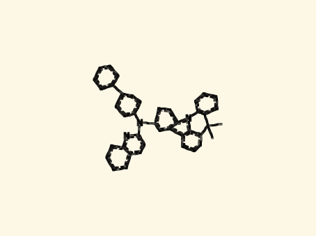 CC1(C)c2ccccc2-n2c3ccc(N(c4ccc(-c5ccccc5)cc4)c4ccc5ccccc5n4)cc3c3cccc1c32